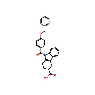 O=C(O)C1CCc2c(c3ccccc3n2C(=O)c2ccc(OCc3ccccc3)cc2)C1